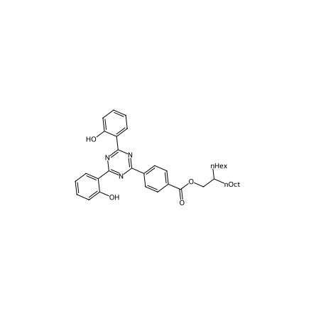 CCCCCCCCC(CCCCCC)COC(=O)c1ccc(-c2nc(-c3ccccc3O)nc(-c3ccccc3O)n2)cc1